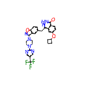 O=c1[nH]nc(Cc2ccc3onc(N4CCN(c5ncc(C(F)(F)F)cn5)CC4)c3c2)c2cc(OC3CCC3)ccc12